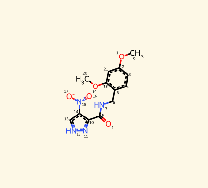 COc1ccc(CNC(=O)c2n[nH]cc2[N+](=O)[O-])c(OC)c1